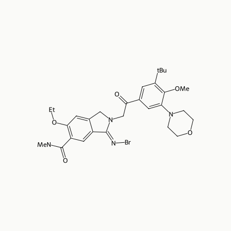 CCOc1cc2c(cc1C(=O)NC)/C(=N/Br)N(CC(=O)c1cc(N3CCOCC3)c(OC)c(C(C)(C)C)c1)C2